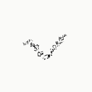 [Ba+2].[Ba+2].[Nd+3].[Nd+3].[O-2].[O-2].[O-2].[O-2].[O-2]